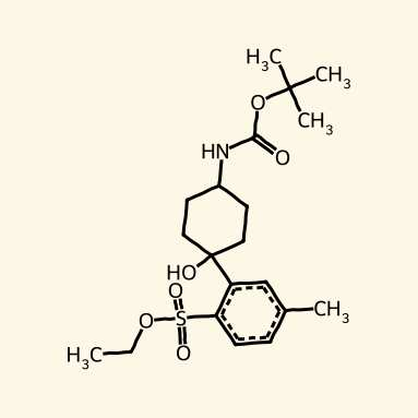 CCOS(=O)(=O)c1ccc(C)cc1C1(O)CCC(NC(=O)OC(C)(C)C)CC1